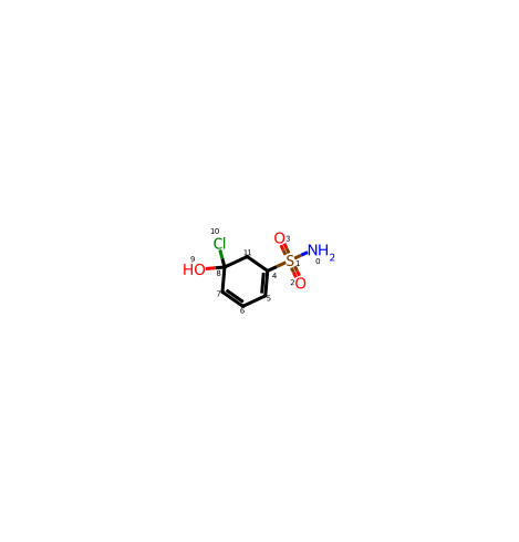 NS(=O)(=O)C1=CC=CC(O)(Cl)C1